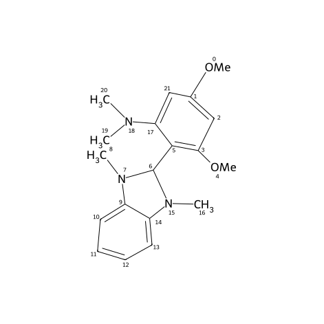 COc1cc(OC)c(C2N(C)c3ccccc3N2C)c(N(C)C)c1